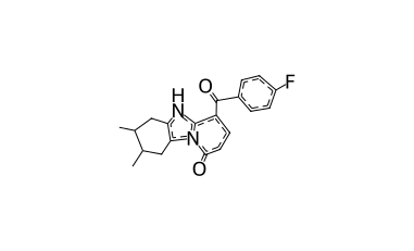 CC1Cc2[nH]c3c(C(=O)c4ccc(F)cc4)ccc(=O)n3c2CC1C